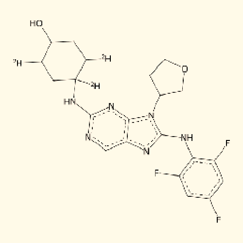 [2H]C1CC([2H])(Nc2ncc3nc(Nc4c(F)cc(F)cc4F)n(C4CCOC4)c3n2)C([2H])CC1O